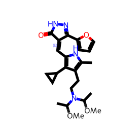 COC(C)N(CCc1c(C)[nH]c(/C=C2/C(=O)NN=C2c2ccco2)c1C1CC1)C(C)OC